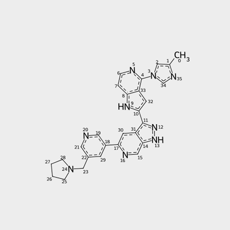 Cc1cn(-c2nccc3[nH]c(-c4n[nH]c5cnc(-c6cncc(CN7CCCC7)c6)cc45)cc23)cn1